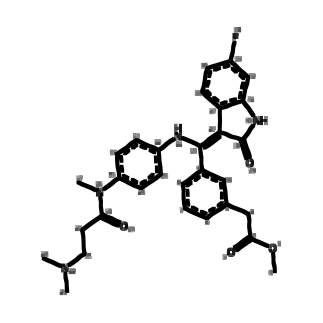 COC(=O)Cc1cccc(C(Nc2ccc(N(C)C(=O)CCN(C)C)cc2)=C2C(=O)Nc3cc(F)ccc32)c1